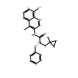 Cc1c(NC(=O)[C@@H](Cc2ccccc2)CC2(C)CC2)cnc2c(F)cccc12